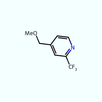 COCc1ccnc(C(F)(F)F)c1